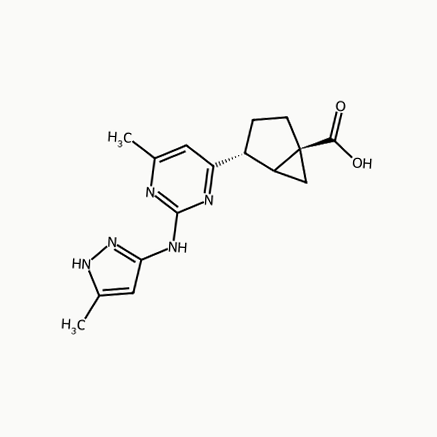 Cc1cc([C@@H]2CC[C@]3(C(=O)O)CC23)nc(Nc2cc(C)[nH]n2)n1